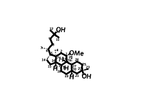 CO[C@H]1C[C@]2(C)[C@@H]([C@H](C)CCC(C)(C)O)CC[C@H]2[C@@H]2CC[C@H]3C[C@@](C)(O)CC[C@]3(C)[C@H]21